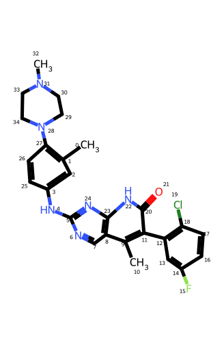 Cc1cc(Nc2ncc3c(C)c(-c4cc(F)ccc4Cl)c(=O)[nH]c3n2)ccc1N1CCN(C)CC1